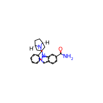 NC(=O)c1ccc2cnn(C3C[C@H]4CC[C@@H](C3)N4Cc3ccccc3)c2c1